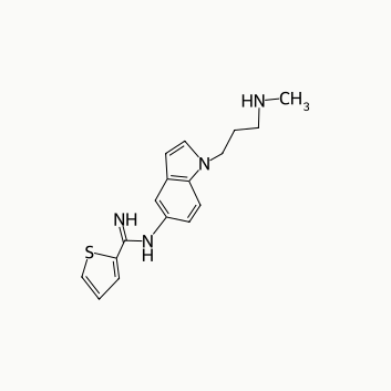 CNCCCn1ccc2cc(NC(=N)c3cccs3)ccc21